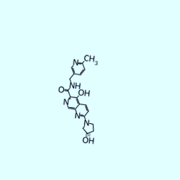 Cc1ccc(CNC(=O)c2ncc3nc(N4CC[C@H](O)C4)ccc3c2O)cn1